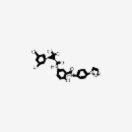 O=C(Nc1ccc(-n2ccnn2)cc1)c1cc(NC(=O)[C@H]2[C@H](c3cc(Cl)cc(Cl)c3)C2(Cl)Cl)ccc1Cl